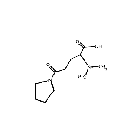 CN(C)C(CCC(=O)N1CCCC1)C(=O)O